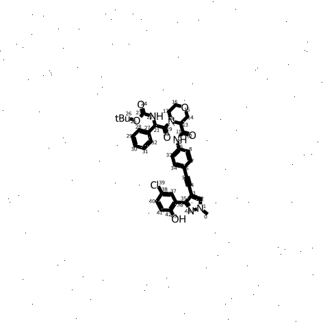 Cn1cc(C#Cc2ccc(NC(=O)C3COCCN3C(=O)C(NC(=O)OC(C)(C)C)c3ccccc3)cc2)c(-c2cc(Cl)ccc2O)n1